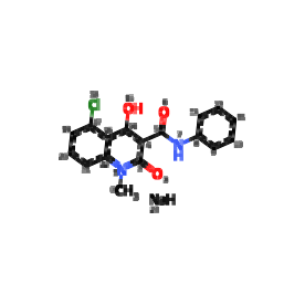 Cn1c(=O)c(C(=O)Nc2ccccc2)c(O)c2c(Cl)cccc21.[NaH]